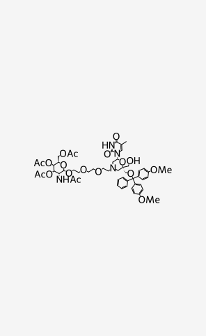 COc1ccc(C(OC[C@]2(CO)CN(CCOCCOCCO[C@@H]3O[C@H](COC(C)=O)[C@H](OC(C)=O)[C@H](OC(C)=O)[C@H]3NC(C)=O)C[C@H](n3cc(C)c(=O)[nH]c3=O)O2)(c2ccccc2)c2ccc(OC)cc2)cc1